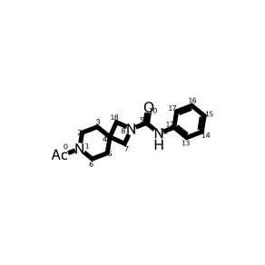 CC(=O)N1CCC2(CC1)CN(C(=O)Nc1ccccc1)C2